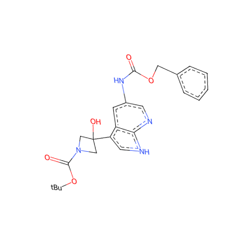 CC(C)(C)OC(=O)N1CC(O)(c2c[nH]c3ncc(NC(=O)OCc4ccccc4)cc23)C1